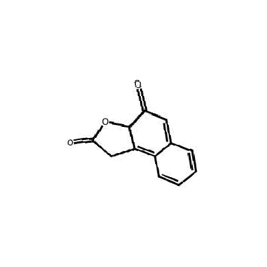 O=C1CC2=c3ccccc3=CC(=O)C2O1